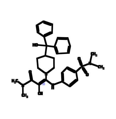 CN(C)C(=O)/C(C#N)=C(/Nc1ccc(S(=O)(=O)N(C)C)cc1)N1CCC(C(O)(c2ccccc2)c2ccccc2)CC1